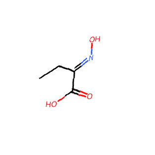 CC/C(=N\O)C(=O)O